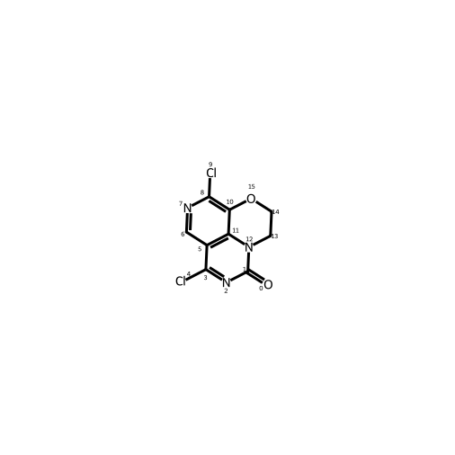 O=c1nc(Cl)c2cnc(Cl)c3c2n1CCO3